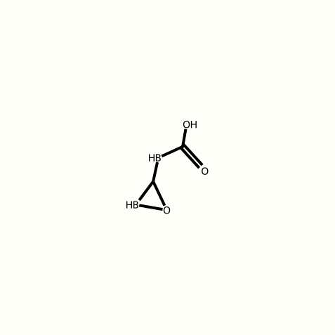 O=C(O)BC1BO1